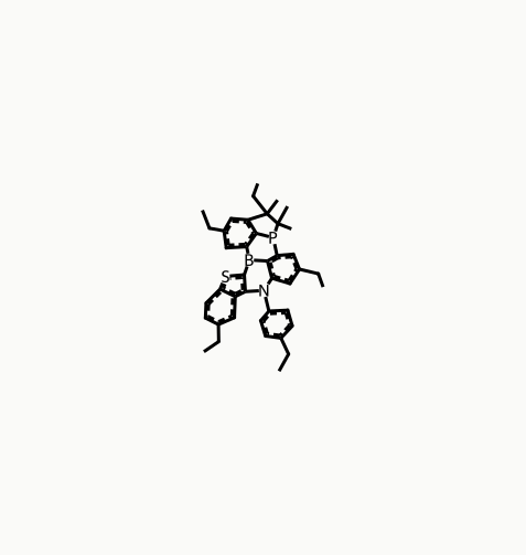 CCc1ccc(N2c3cc(CC)cc4c3B(c3cc(CC)cc5c3P4C(C)(C)C5(C)CC)c3sc4ccc(CC)cc4c32)cc1